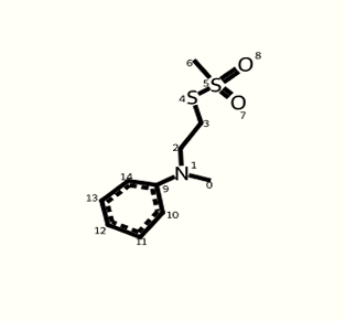 CN(CCSS(C)(=O)=O)c1ccccc1